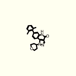 Cc1cccc(C)c1-c1ccc2c(c1)[nH]c(=O)c1cnn(C3CCOCC3)c12